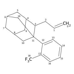 C=CCC1C2CC3CC(C2)CC1(c1ccccc1C(F)(F)F)C3